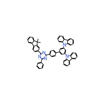 CC1(C)c2ccccc2-c2ccc(-c3nc(-c4ccccc4)nc(-c4ccc(-c5cc(-n6c7ccccc7c7ccccc76)cc(-n6c7ccccc7c7ccccc76)c5)cc4)n3)cc21